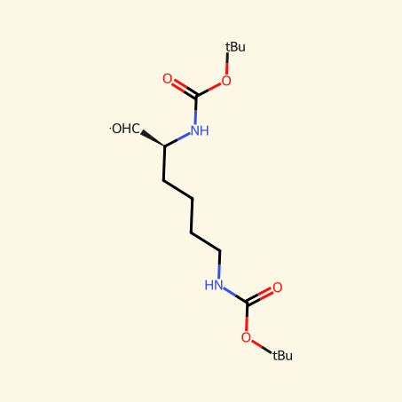 CC(C)(C)OC(=O)NCCCC[C@@H]([C]=O)NC(=O)OC(C)(C)C